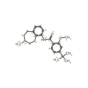 COc1cc(C(C)(C)C)ccc1C(=O)Nc1cccc2c1CCN(C)CC2